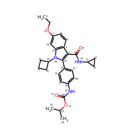 CCOc1ccc2c(C(=O)NC3CC3)c(-c3ccc(NC(=O)OC(C)C)cc3)n(C3CCC3)c2c1